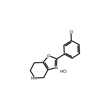 Cl.Clc1cccc(-c2nc3c(o2)CCNC3)c1